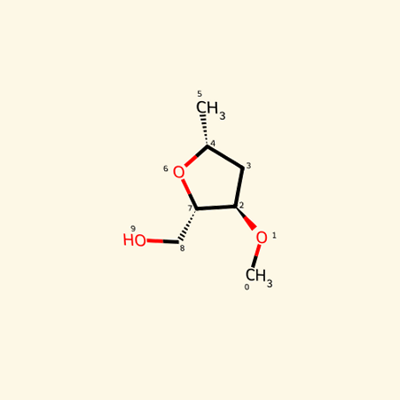 CO[C@@H]1C[C@@H](C)O[C@H]1CO